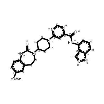 COc1ccc2c(c1)CCN(C1CCN(c3cc(C(=O)Nc4cccc5[nH]ncc45)ncn3)CC1)C(=O)N2